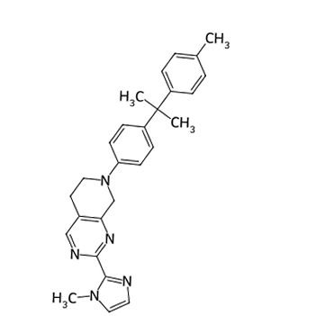 Cc1ccc(C(C)(C)c2ccc(N3CCc4cnc(-c5nccn5C)nc4C3)cc2)cc1